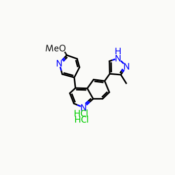 COc1ccc(-c2ccnc3ccc(-c4c[nH]nc4C)cc23)cn1.Cl.Cl